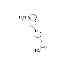 Nc1cccc(CC(=O)N2CCC(CCC(=O)O)CC2)c1